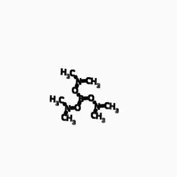 CN(C)OB(ON(C)C)ON(C)C